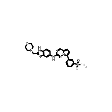 CS(=O)(=O)c1cccc(-c2ccc3cnc(Nc4ccc5[nH]c(CN6CCOCC6)nc5c4)nn23)c1